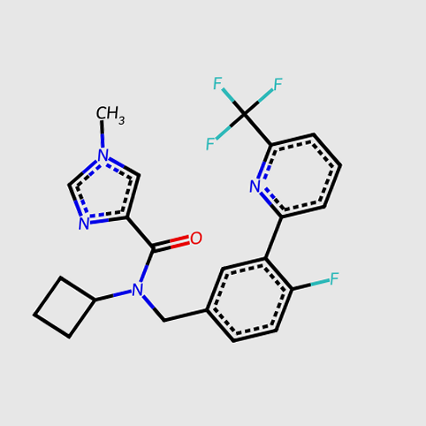 Cn1cnc(C(=O)N(Cc2ccc(F)c(-c3cccc(C(F)(F)F)n3)c2)C2CCC2)c1